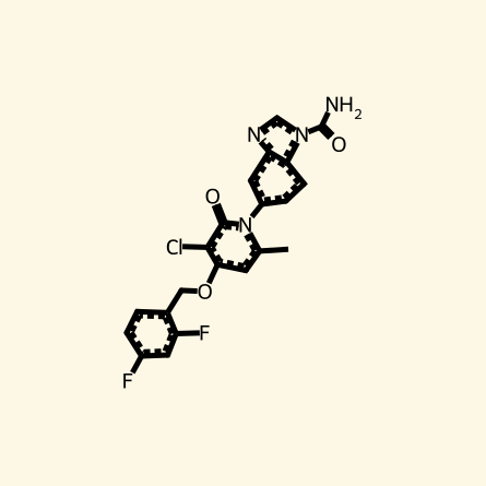 Cc1cc(OCc2ccc(F)cc2F)c(Cl)c(=O)n1-c1ccc2c(c1)ncn2C(N)=O